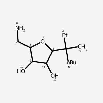 CCCCC(C)(CC)C1OC(CN)C(O)C1O